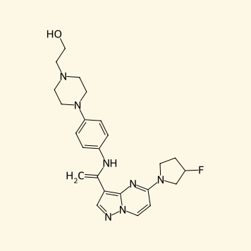 C=C(Nc1ccc(N2CCN(CCO)CC2)cc1)c1cnn2ccc(N3CCC(F)C3)nc12